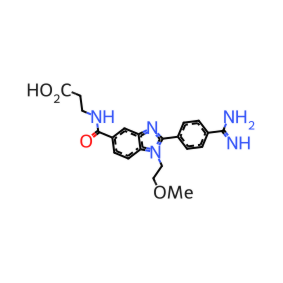 COCCn1c(-c2ccc(C(=N)N)cc2)nc2cc(C(=O)NCCC(=O)O)ccc21